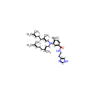 COc1ccc(C(=O)NCCc2c[nH]cn2)cc1N(C/C=C(\C)CCC=C(C)C)C/C=C(\C)CCC=C(C)C